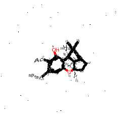 CCCCCc1cc2c(c(O)c1C(C)=O)[C@@H]1[C@H]3C(CC[C@H]3O2)C1(C)C